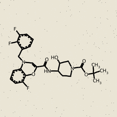 CC(C)(C)OC(=O)N1CCC(NC(=O)C2=CN(Cc3cccc(F)c3F)c3cccc(F)c3O2)C(O)C1